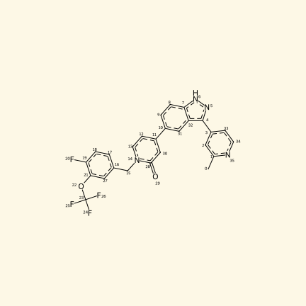 Cc1cc(-c2n[nH]c3ccc(-c4ccn(Cc5ccc(F)c(OC(F)(F)F)c5)c(=O)c4)cc23)ccn1